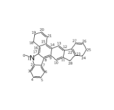 Cn1c2ccccc2c2c3cc4c(cc3c3c(c21)CCC=C3)C1=C(CCC=C1)C4